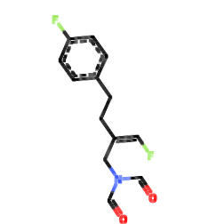 O=CN(C=O)CC(=CF)CCc1ccc(F)cc1